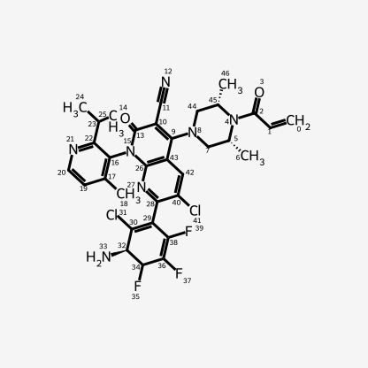 C=CC(=O)N1[C@H](C)CN(c2c(C#N)c(=O)n(-c3c(C)ccnc3C(C)C)c3nc(C4=C(Cl)[C@H](N)C(F)C(F)=C4F)c(Cl)cc23)C[C@@H]1C